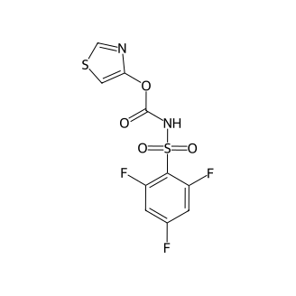 O=C(NS(=O)(=O)c1c(F)cc(F)cc1F)Oc1cscn1